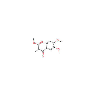 COC(=O)C(C)C(=O)c1ccc(OC)c(OC)c1